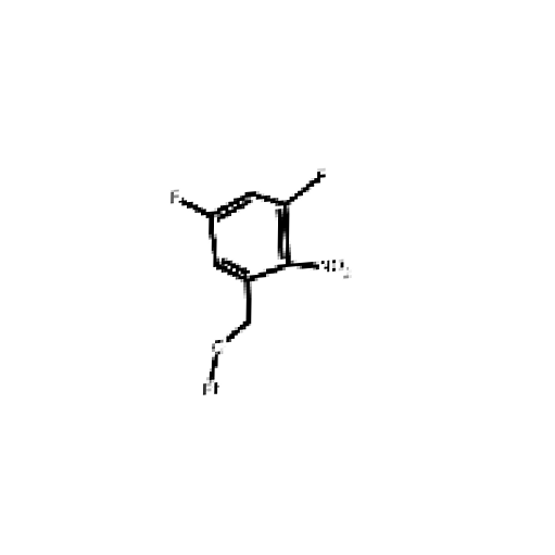 CCOCc1cc(F)cc(F)c1[N+](=O)[O-]